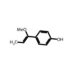 CC=C(OC)c1ccc(O)cc1